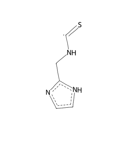 S=[C]NCc1ncc[nH]1